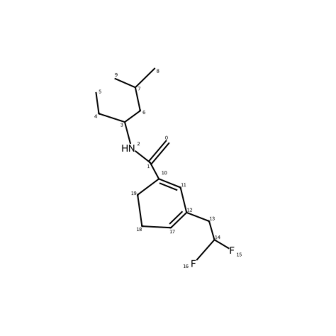 C=C(NC(CC)CC(C)C)C1=CC(CC(F)F)=CCC1